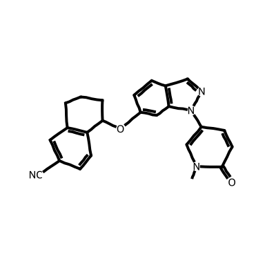 Cn1cc(-n2ncc3ccc(OC4CCCc5cc(C#N)ccc54)cc32)ccc1=O